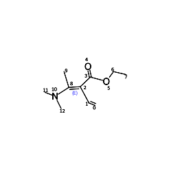 C=C/C(C(=O)OCC)=C(/C)N(C)C